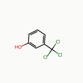 Oc1[c]ccc(C(Cl)(Cl)Cl)c1